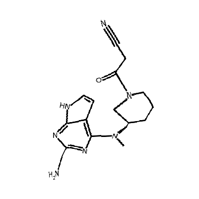 CN(c1nc(N)nc2[nH]ccc12)[C@@H]1CCCN(C(=O)CC#N)C1